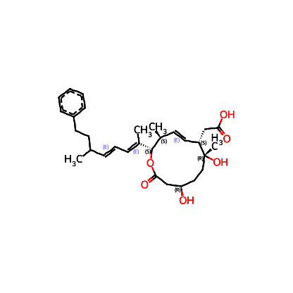 C/C(=C\C=C\C(C)CCc1ccccc1)[C@H]1OC(=O)C[C@H](O)CC[C@@](C)(O)[C@@H](CC(=O)O)/C=C/[C@@H]1C